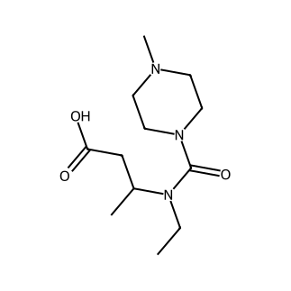 CCN(C(=O)N1CCN(C)CC1)C(C)CC(=O)O